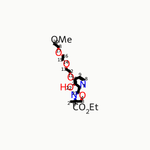 CCOC(=O)[C@@]1(C)COC(c2nccc(OCCOCCOCCOC)c2O)=N1